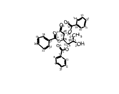 C[C@@H](O)[C@H](OC(=O)c1ccccc1)[C@@H](OC(=O)c1ccccc1)[C@H](C=O)OC(=O)c1ccccc1